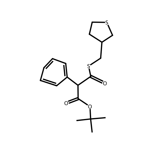 CC(C)(C)OC(=O)C(C(=O)SCC1CCSC1)c1ccccc1